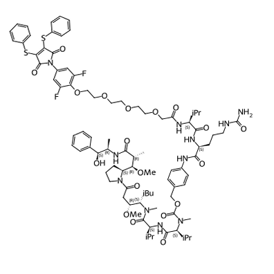 CCC(C)[C@@H]([C@@H](CC(=O)N1CCC[C@H]1[C@H](OC)[C@@H](C)C(=O)N[C@H](C)[C@@H](O)c1ccccc1)OC)N(C)C(=O)[C@@H](NC(=O)[C@H](C(C)C)N(C)C(=O)OCc1ccc(NC(=O)[C@H](CCCNC(N)=O)NC(=O)[C@@H](NC(=O)COCCOCCOCCOc2c(F)cc(N3C(=O)C(Sc4ccccc4)=C(Sc4ccccc4)C3=O)cc2F)C(C)C)cc1)C(C)C